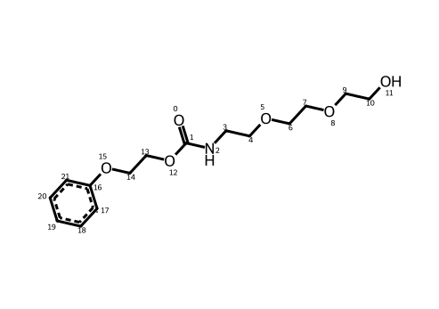 O=C(NCCOCCOCCO)OCCOc1[c]cccc1